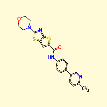 Cc1ccc(-c2ccc(NC(=O)c3cc4sc(N5CCOCC5)nc4s3)cc2)cn1